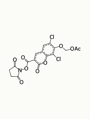 CC(=O)OCOc1c(Cl)cc2cc(C(=O)ON3C(=O)CCC3=O)c(=O)oc2c1Cl